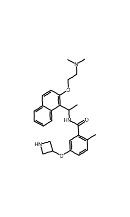 Cc1ccc(OC2CNC2)cc1C(=O)NC(C)c1c(OCCN(C)C)ccc2ccccc12